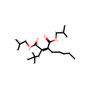 CCCCC/C(C(=O)OCC(C)C)=C(\CC(C)(C)C)C(=O)OCC(C)C